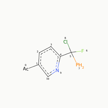 CC(=O)c1ccc(C(F)(P)Cl)nc1